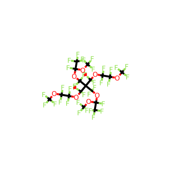 FC(F)(F)OC(F)(F)C(F)(F)OC(F)(F)C(C(F)(F)OC(F)(F)C(F)(F)OC(F)(F)F)(C(F)(F)OC(F)(OC(F)(F)F)C(F)(F)F)C(F)(F)OC(F)(OC(F)(F)F)C(F)(F)F